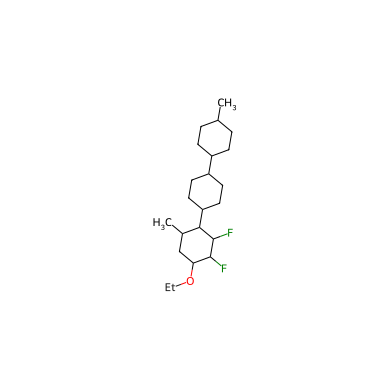 CCOC1CC(C)C(C2CCC(C3CCC(C)CC3)CC2)C(F)C1F